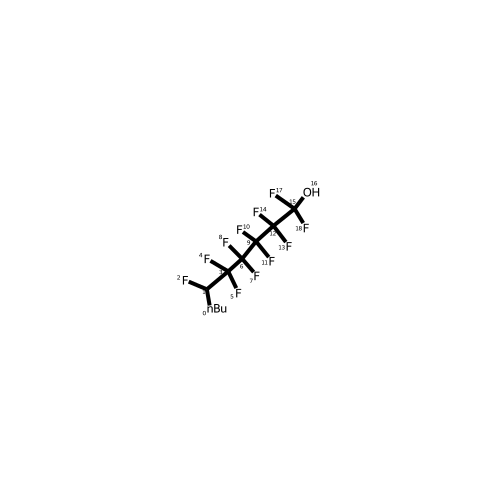 CCCCC(F)C(F)(F)C(F)(F)C(F)(F)C(F)(F)C(O)(F)F